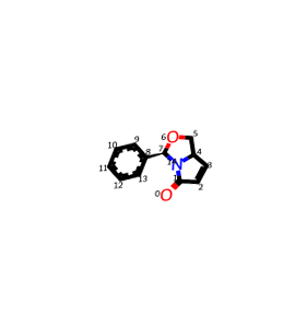 O=C1C=CC2CO[C@H](c3ccccc3)N12